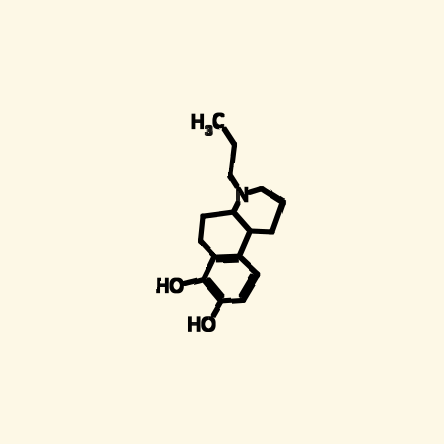 CCCN1CCCC2c3ccc(O)c(O)c3CCC21